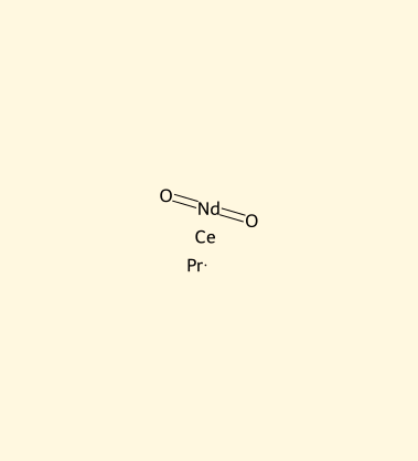 [Ce].[O]=[Nd]=[O].[Pr]